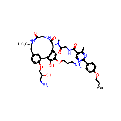 Cc1nc(-c2ccc(OCCC(C)(C)C)cc2)ncc1C(=O)NCC(=O)N(C)[C@@H]1C(=O)N[C@@H](C)C(=O)N[C@H](C(=O)O)Cc2ccc(OC[C@H](O)CN)c(c2)-c2cc1cc(OCCCN)c2O